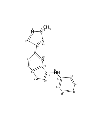 Cn1ncc(-c2ccc3scc(Nc4ccccc4)c3n2)n1